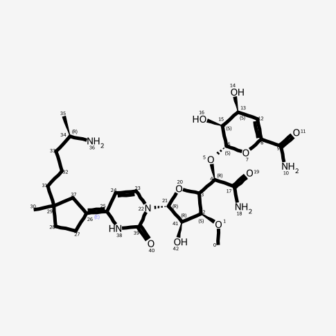 CO[C@@H]1C([C@@H](O[C@H]2OC(C(N)=O)=C[C@H](O)[C@@H]2O)C(N)=O)O[C@@H](N2C=C/C(=C3/CCC(C)(CCC[C@@H](C)N)C3)NC2=O)[C@@H]1O